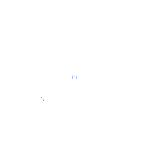 O=C(NC1CCCc2ccccc21)c1ccccn1